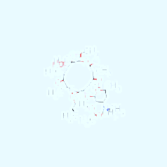 C=CCO[C@@]1(C)C[C@@H](C)C(=O)[C@H](C)[C@@H](O)[C@](C)(O)[C@@H](CC)OC(=O)[C@H](C)C(=O)[C@H](C)[C@H]1OC1O[C@H](C)C[C@H](N(C)C)[C@H]1OC(C)=O